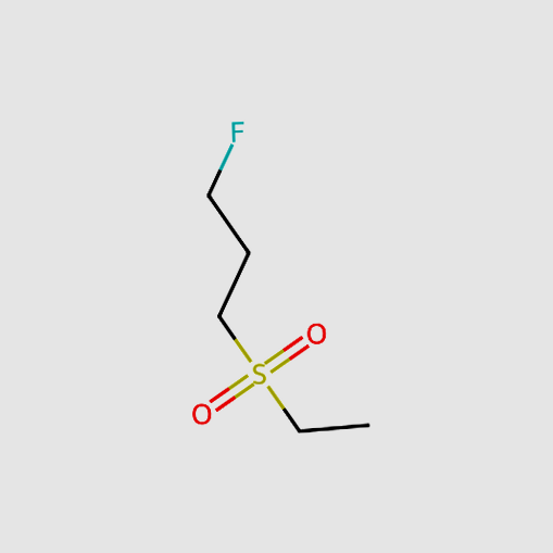 CCS(=O)(=O)CCCF